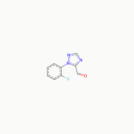 O=Cc1ncnn1-c1ccccc1F